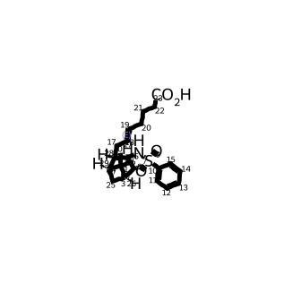 CC1(C)[C@H]2C[C@@H](NS(=O)(=O)c3ccccc3)[C@@H](C/C=C/CCCC(=O)O)[C@@H]1C2